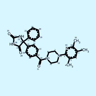 Cc1cc(C)c(N2CCN(C(=O)c3ccc(C4(c5ccccc5)NC(=O)NC4=O)cc3)CC2)nc1C